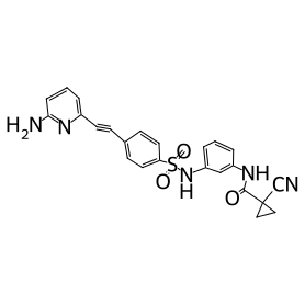 N#CC1(C(=O)Nc2cccc(NS(=O)(=O)c3ccc(C#Cc4cccc(N)n4)cc3)c2)CC1